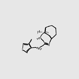 Cc1cscc1NC1=NC2CCCC[C@@H]2N1